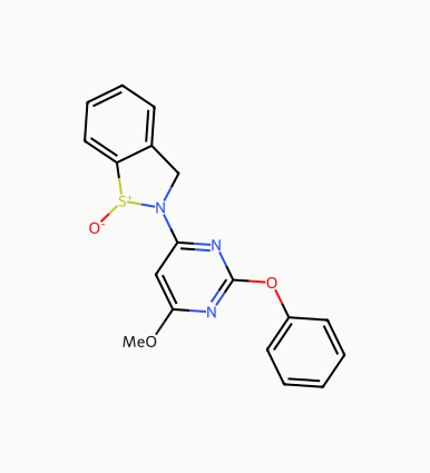 COc1cc(N2Cc3ccccc3[S+]2[O-])nc(Oc2ccccc2)n1